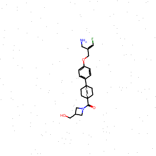 NC/C(=C\F)COc1ccc(C23CCC(C(=O)N4CC(CO)C4)(CC2)CC3)cc1